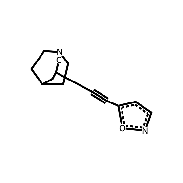 C(#CC1CC2CCN(CC2)C1)c1ccno1